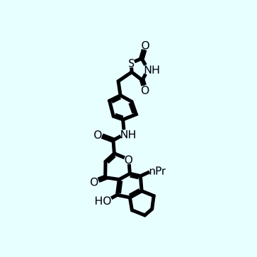 CCCc1c2c(c(O)c3c(=O)cc(C(=O)Nc4ccc(CC5SC(=O)NC5=O)cc4)oc13)CCCC2